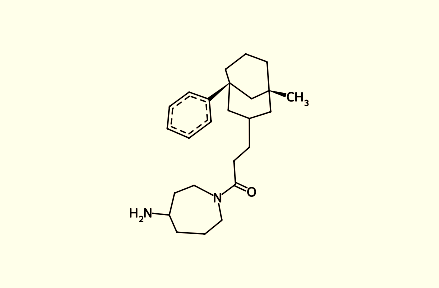 C[C@@]12CCC[C@@](c3ccccc3)(CC(CCC(=O)N3CCCC(N)CC3)C1)C2